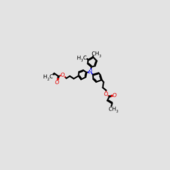 C=CC(=O)OCCCc1ccc(N(c2ccc(CCCOC(=O)/C=C/C)cc2)c2ccc(C)c(C)c2)cc1